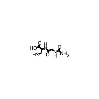 NC(=O)NCC(=O)N[C@@H](CS)C(=O)O